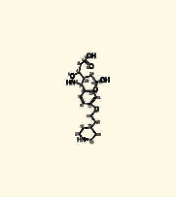 O=C(O)CC1ONC(c2ccc(OCCC3CCNCC3)cc2)C1CC(=O)O